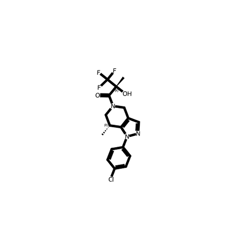 C[C@@H]1CN(C(=O)[C@@](C)(O)C(F)(F)F)Cc2cnn(-c3ccc(Cl)cc3)c21